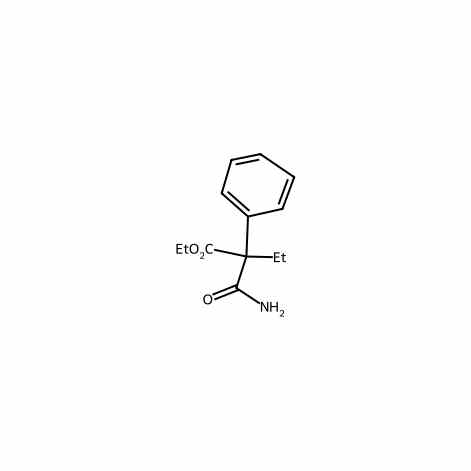 CCOC(=O)C(CC)(C(N)=O)c1ccccc1